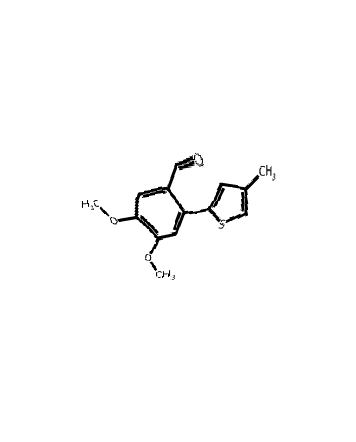 COc1cc(C=O)c(-c2cc(C)cs2)cc1OC